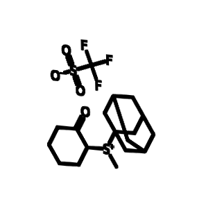 C[S+](C1CCCCC1=O)C12CC3CC(CC(C3)C1)C2.O=S(=O)([O-])C(F)(F)F